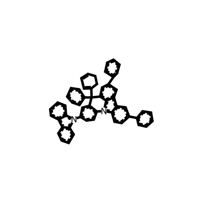 C1=CCCC(C2(c3ccccc3)c3cc(-n4c5ccccc5c5ccccc54)ccc3-n3c4ccc(-c5ccccc5)cc4c4cc(-c5ccccc5)cc2c43)=C1